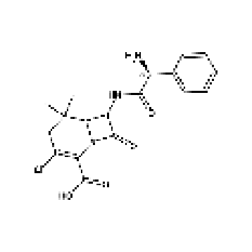 CC1(C)CC(Cl)=C(C(=O)O)N2C(=O)C(NC(=O)[C@@H](N)c3ccccc3)C21